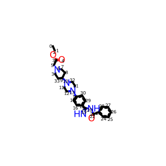 CCOC(=O)CN1CCC(N2CCN(c3ccc(C(=N)NC(=O)c4ccccc4)cc3)CC2)CC1